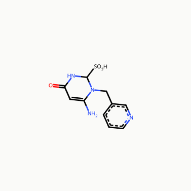 NC1=CC(=O)NC(S(=O)(=O)O)N1Cc1cccnc1